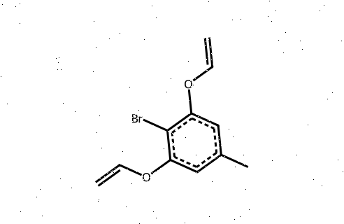 C=COc1cc(C)cc(OC=C)c1Br